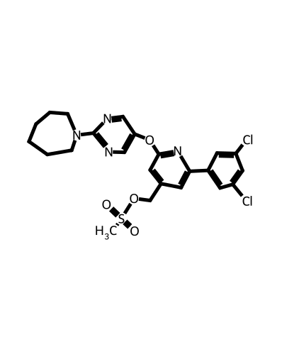 CS(=O)(=O)OCc1cc(Oc2cnc(N3CCCCCC3)nc2)nc(-c2cc(Cl)cc(Cl)c2)c1